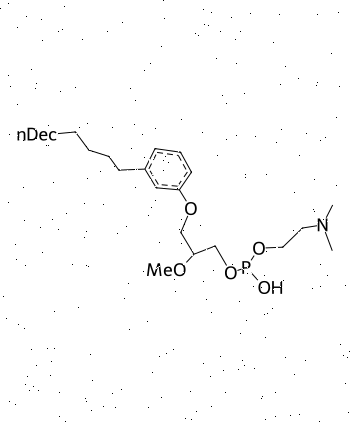 CCCCCCCCCCCCCCc1cccc(OCC(COP(O)OCCN(C)C)OC)c1